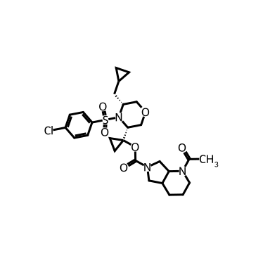 CC(=O)N1CCCC2CN(C(=O)OC3([C@H]4COC[C@@H](CC5CC5)N4S(=O)(=O)c4ccc(Cl)cc4)CC3)CC21